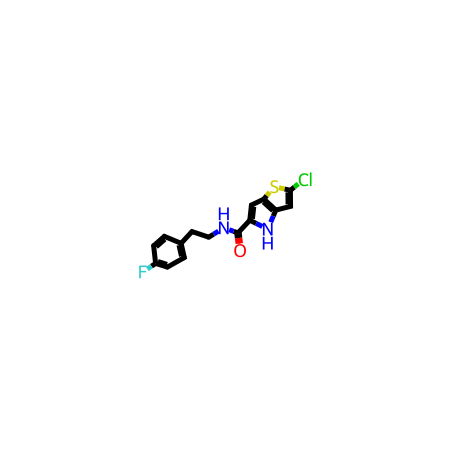 O=C(NCCc1ccc(F)cc1)c1cc2sc(Cl)cc2[nH]1